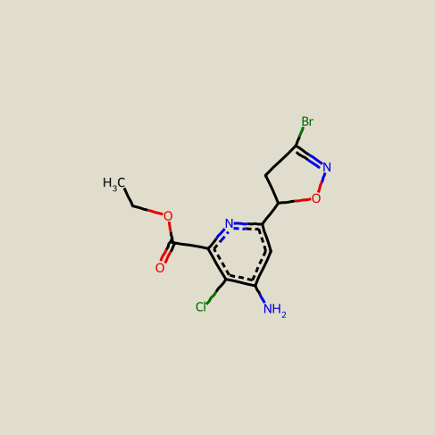 CCOC(=O)c1nc(C2CC(Br)=NO2)cc(N)c1Cl